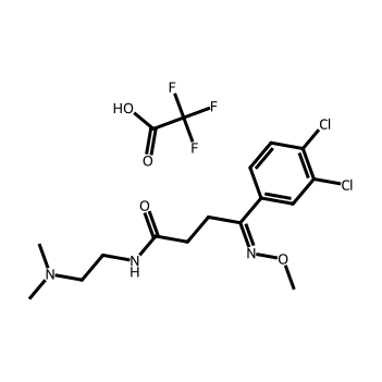 CO/N=C(/CCC(=O)NCCN(C)C)c1ccc(Cl)c(Cl)c1.O=C(O)C(F)(F)F